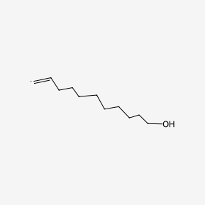 [CH]=CCCCCCCCCCO